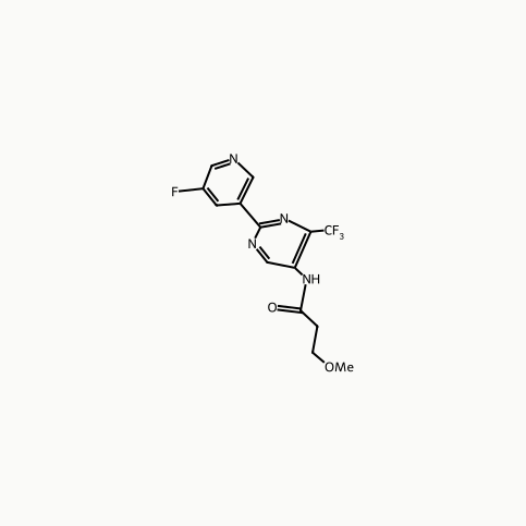 COCCC(=O)Nc1cnc(-c2cncc(F)c2)nc1C(F)(F)F